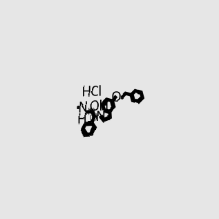 CNC[C@@H](O)[C@H](c1ccccc1)n1ccc2cc(OCCc3ccccc3)ccc21.Cl